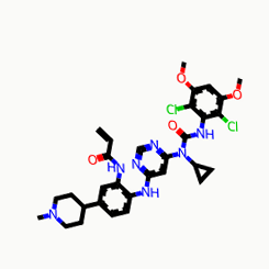 C=CC(=O)Nc1cc(C2CCN(C)CC2)ccc1Nc1cc(N(C(=O)Nc2c(Cl)c(OC)cc(OC)c2Cl)C2CC2)ncn1